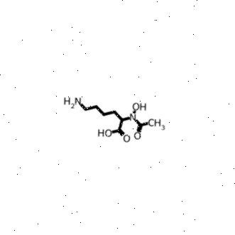 CC(=O)N(O)C(CCCCN)C(=O)O